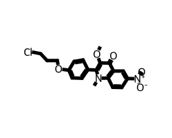 COc1c(-c2ccc(OCCCCl)cc2)n(C)c2ccc([N+](=O)[O-])cc2c1=O